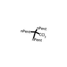 CCCCCC(CCCCC)(CCCCC)C(Cl)(Cl)Cl